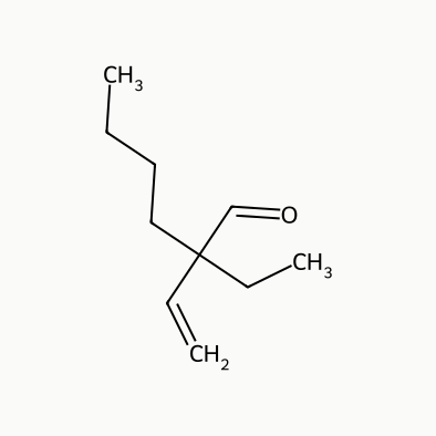 C=CC(C=O)(CC)CCCC